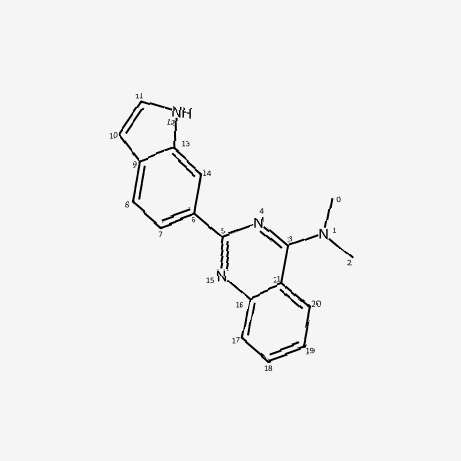 CN(C)c1nc(-c2ccc3cc[nH]c3c2)nc2ccccc12